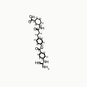 N=C(N)Nc1ccc(C(=O)Oc2ccc(CCC(=O)NC3CCCC(C(=O)O)C3)cc2)cc1